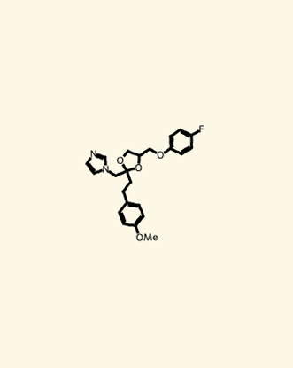 COc1ccc(CCC2(Cn3ccnc3)OCC(COc3ccc(F)cc3)O2)cc1